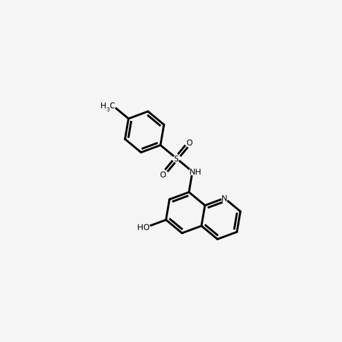 Cc1ccc(S(=O)(=O)Nc2cc(O)cc3cccnc23)cc1